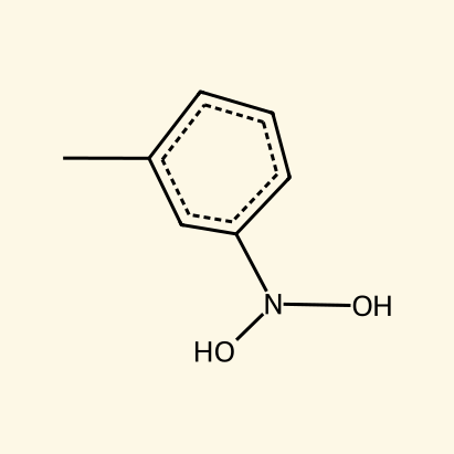 Cc1cccc(N(O)O)c1